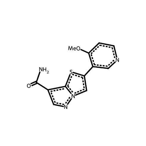 COc1ccncc1-c1cn2ncc(C(N)=O)c2s1